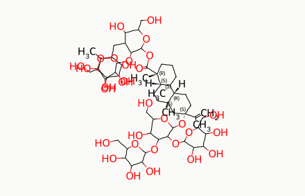 C=C(C)[C@]1(OC2OC(CO)C(O)C(OC3OC(CO)C(O)C(O)C3O)C2OC2OC(CO)C(O)C(O)C2O)CC[C@@H]2[C@@](C)(CC[C@H]3[C@@]2(C)CCC[C@@]3(C)C(=O)OC2OC(CO)C(O)C(CC3OC(CO)C(O)C(O)C3O)C2OC2OC(C)C(O)C(O)C2O)C1